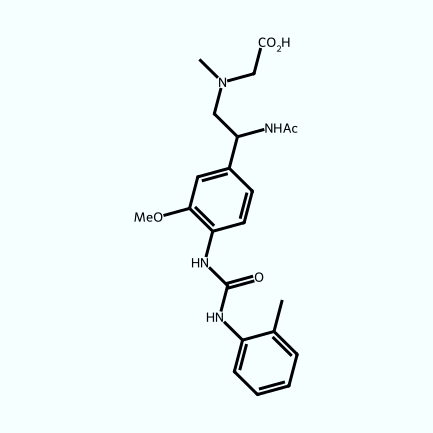 COc1cc(C(CN(C)CC(=O)O)NC(C)=O)ccc1NC(=O)Nc1ccccc1C